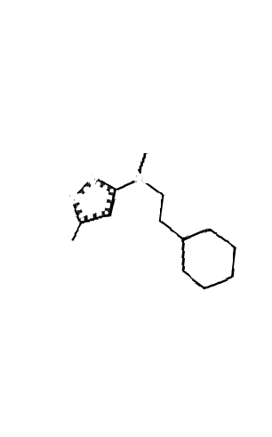 CCOC(=O)c1cc(N(C)CCC2CCCCC2)[nH]n1